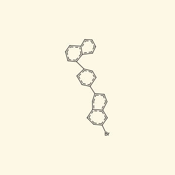 Brc1ccc2cc(-c3ccc(-c4cccc5ccccc45)cc3)ccc2c1